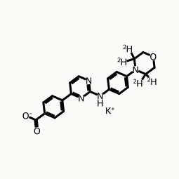 [2H]C1([2H])COCC([2H])([2H])N1c1ccc(Nc2nccc(-c3ccc(C(=O)[O-])cc3)n2)cc1.[K+]